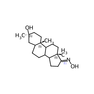 C[C@]1(O)CC[C@@]2(C)C(CCC3C2CC[C@]2(C)/C(=N/O)CCC32)C1